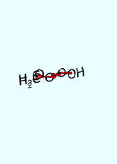 C=C(C)C(=O)CCCCCCOc1ccc(-c2ccc(OCCCCCCO)cc2)cc1